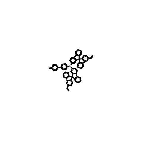 C=Cc1ccc(C2(c3ccccc3F)c3ccccc3-c3ccc(N(c4ccc(-c5ccc(F)cc5)cc4)c4ccc5c(c4)C(c4ccc(C=C)cc4)(c4ccccc4F)c4ccccc4-5)cc32)cc1